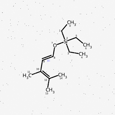 CC[Si](CC)(CC)O/C=C/C(C)=C(C)C